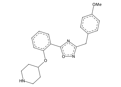 COc1ccc(Cc2noc(-c3ccccc3OC3CCNCC3)n2)cc1